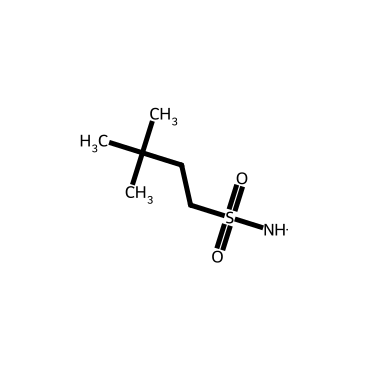 CC(C)(C)CCS([NH])(=O)=O